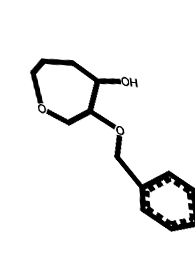 OC1CCCOCC1OCc1ccccc1